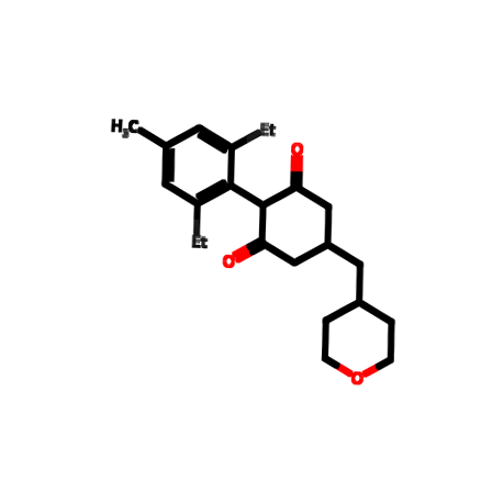 CCc1cc(C)cc(CC)c1C1C(=O)CC(CC2CCOCC2)CC1=O